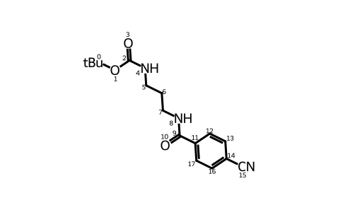 CC(C)(C)OC(=O)NCCCNC(=O)c1ccc(C#N)cc1